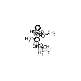 C=CCON([C@@H]1C=C(C)[C@@H](CO)N(C(=O)OC(C)(C)C)C1)S(=O)(=O)c1ccccc1[N+](=O)[O-]